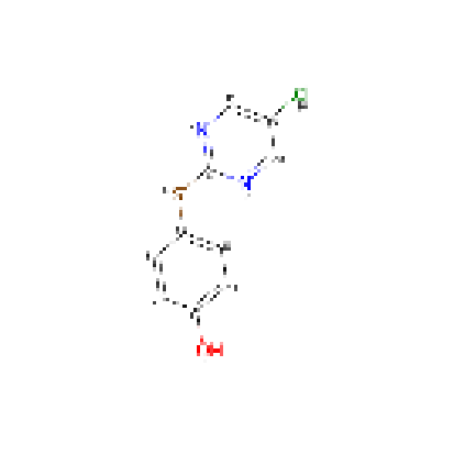 Oc1ccc(Sc2ncc(Cl)cn2)cc1